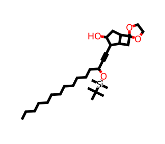 CCCCCCCCCCCCC(C#CC1C(O)CC2C1CC21OCCO1)O[Si](C)(C)C(C)(C)C